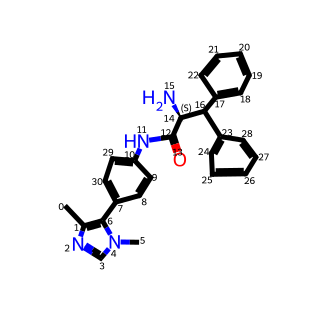 Cc1ncn(C)c1-c1ccc(NC(=O)[C@@H](N)C(c2ccccc2)c2ccccc2)cc1